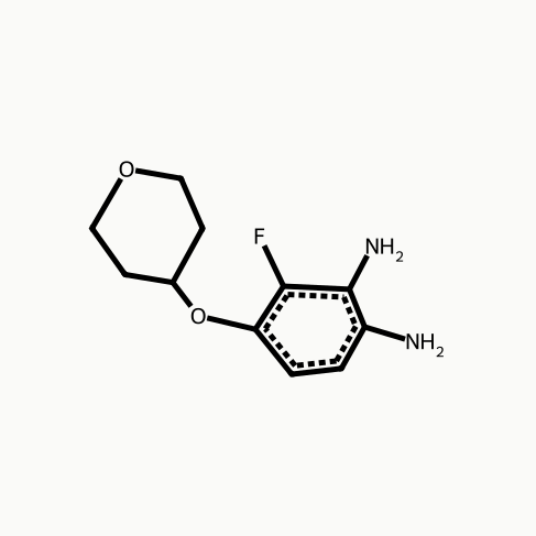 Nc1ccc(OC2CCOCC2)c(F)c1N